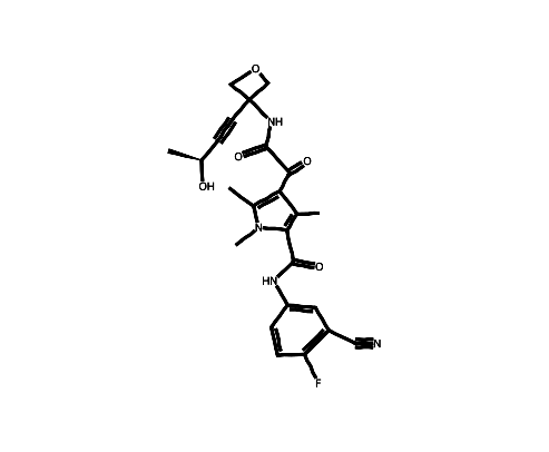 Cc1c(C(=O)C(=O)NC2(C#C[C@H](C)O)COC2)c(C)n(C)c1C(=O)Nc1ccc(F)c(C#N)c1